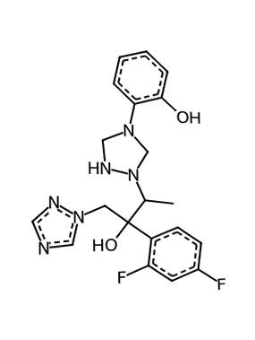 CC(N1CN(c2ccccc2O)CN1)C(O)(Cn1cncn1)c1ccc(F)cc1F